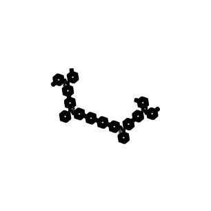 Cc1cccc(N(c2ccc(-c3ccc(N(c4ccccc4)c4ccc(-c5ccc(-c6ccc(-c7ccc(N(c8ccccc8)c8ccc(-c9ccc(N(c%10cccc(C)c%10)c%10cccc(C)c%10)cc9)cc8)cc7)cc6)cc5)cc4)cc3)cc2)c2cccc(C)c2)c1